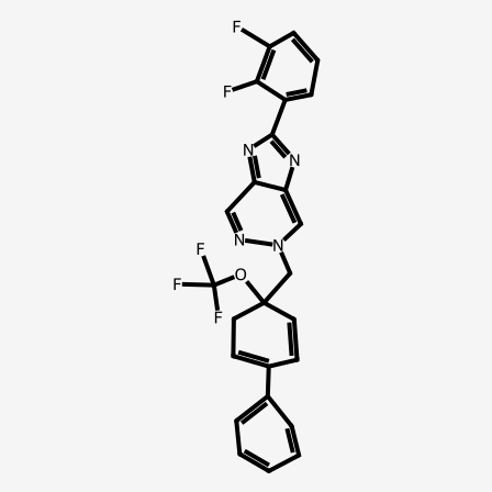 Fc1cccc(-c2nc3cnn(CC4(OC(F)(F)F)C=CC(c5ccccc5)=CC4)cc-3n2)c1F